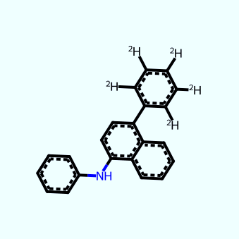 [2H]c1c([2H])c([2H])c(-c2ccc(Nc3ccccc3)c3ccccc23)c([2H])c1[2H]